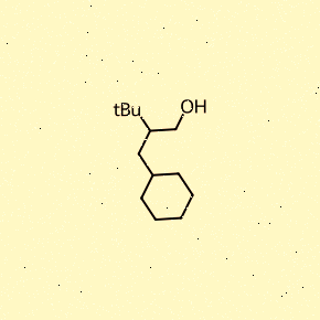 CC(C)(C)C(CO)CC1CCCCC1